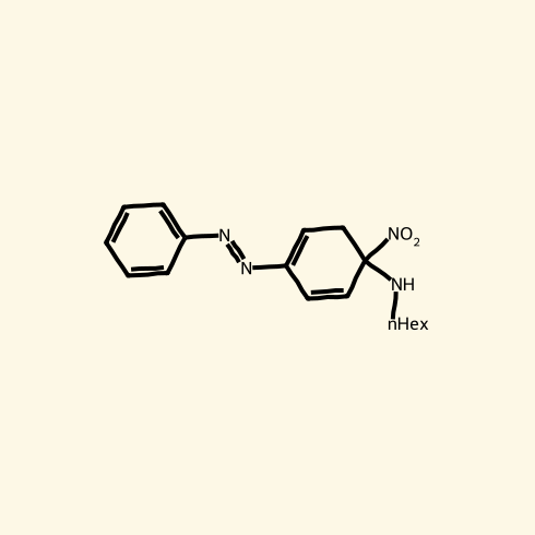 CCCCCCNC1([N+](=O)[O-])C=CC(N=Nc2ccccc2)=CC1